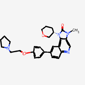 Cn1c(=O)n([C@H]2CCCOC2)c2c3cc(-c4ccc(OCCN5CCCC5)cc4)ccc3ncc21